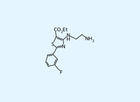 CCOC(=O)c1sc(-c2cccc(F)c2)nc1NCCN